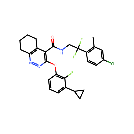 Cc1cc(Cl)ccc1C(F)(F)CNC(=O)c1c(Oc2cccc(C3CC3)c2F)nnc2c1CCCC2